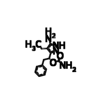 CCc1c(C(Cc2ccccc2)OC(N)=O)n[nH]c1N